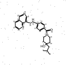 CC(C)CC1(O)CCN(C(=O)c2ccc(NSc3cncc4cccnc34)cc2)CC1